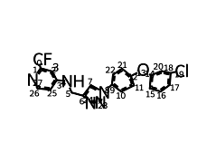 FC(F)(F)c1cc(NCc2cn(-c3ccc(Oc4cccc(Cl)c4)cc3)nn2)ccn1